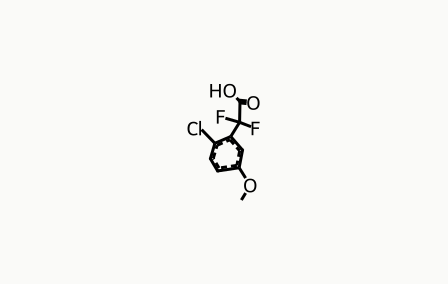 COc1ccc(Cl)c(C(F)(F)C(=O)O)c1